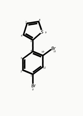 Brc1ccc(-c2c[c]cs2)c(Br)c1